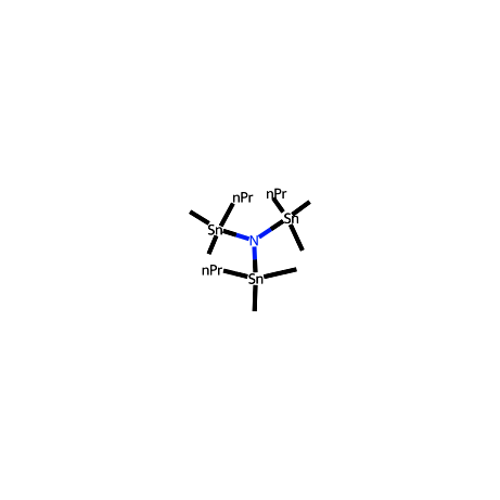 CC[CH2][Sn]([CH3])([CH3])[N]([Sn]([CH3])([CH3])[CH2]CC)[Sn]([CH3])([CH3])[CH2]CC